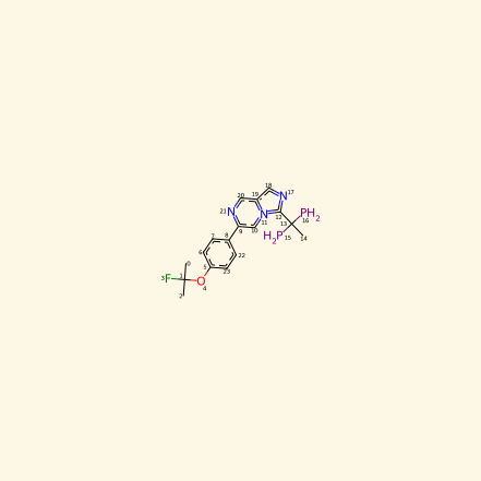 CC(C)(F)Oc1ccc(-c2cn3c(C(C)(P)P)ncc3cn2)cc1